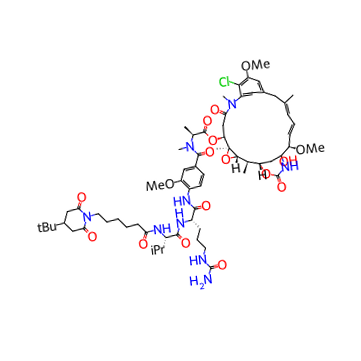 COc1cc(C(=O)N(C)[C@@H](C)C(=O)O[C@H]2CC(=O)N(C)c3cc(cc(OC)c3Cl)C/C(C)=C/C=C/[C@@H](OC)[C@@]3(O)C[C@H](OC(=O)N3)[C@@H](C)[C@@H]3O[C@@]23C)ccc1NC(=O)[C@H](CCCNC(N)=O)NC(=O)[C@@H](NC(=O)CCCCCN1C(=O)CC(C(C)(C)C)CC1=O)C(C)C